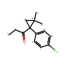 CCC(=O)C1(c2ccc(F)cc2)CC1(C)C